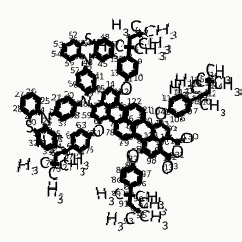 CC(C)(C)CC(C)(C)c1ccc(Oc2ccc3c(N(c4ccc(N5c6ccccc6Sc6ccccc65)cc4)c4ccc(N5c6ccccc6Sc6ccccc65)cc4)cc(Oc4ccc(C(C)(C)CC(C)(C)C)cc4)c4c5ccc6c7c(Oc8ccc(C(C)(C)CC(C)(C)C)cc8)cc8c9c(cc(Oc%10ccc(C(C)(C)CC(C)(C)C)cc%10)c(c%10ccc(c2c34)c5c%106)c97)C(=O)OC8=O)cc1